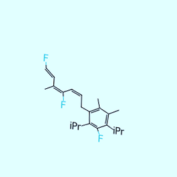 CC(/C=C/F)=C(F)/C=C\Cc1c(C)c(C)c(C(C)C)c(F)c1C(C)C